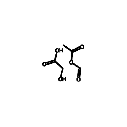 CC(=O)OC=O.O=C(O)CO